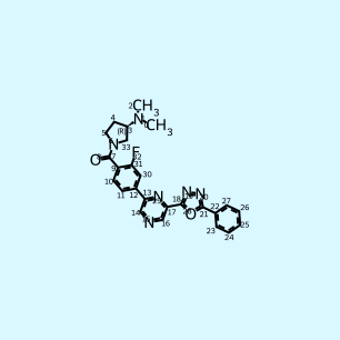 CN(C)[C@@H]1CCN(C(=O)c2ccc(-c3cncc(-c4nnc(-c5ccccc5)o4)n3)cc2F)C1